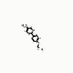 CCOc1ccc(-c2ncc(C)cn2)cc1